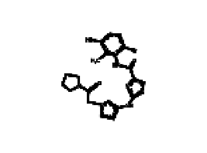 Cc1c(O)ccc(Br)c1NC(=O)c1cnc(Nc2ccn(CC(=O)N3CCCC3)n2)s1